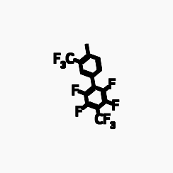 Cc1ccc(-c2c(F)c(F)c(C(F)(F)F)c(F)c2F)cc1C(F)(F)F